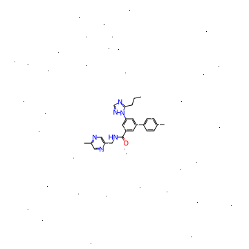 CCCc1ncnn1-c1cc(C(=O)NCc2cnc(C)cn2)cc(-c2ccc(C)cc2)c1